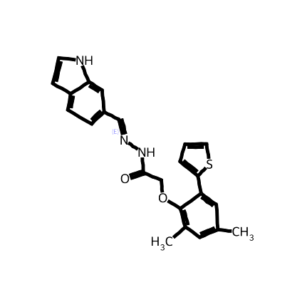 Cc1cc(C)c(OCC(=O)N/N=C/c2ccc3cc[nH]c3c2)c(-c2cccs2)c1